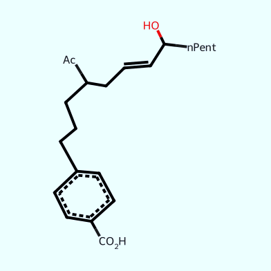 CCCCCC(O)C=CCC(CCCc1ccc(C(=O)O)cc1)C(C)=O